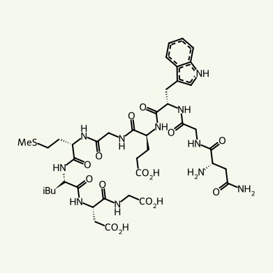 CC[C@H](C)[C@H](NC(=O)[C@H](CCSC)NC(=O)CNC(=O)[C@H](CCC(=O)O)NC(=O)[C@H](Cc1c[nH]c2ccccc12)NC(=O)CNC(=O)[C@@H](N)CC(N)=O)C(=O)N[C@@H](CC(=O)O)C(=O)NCC(=O)O